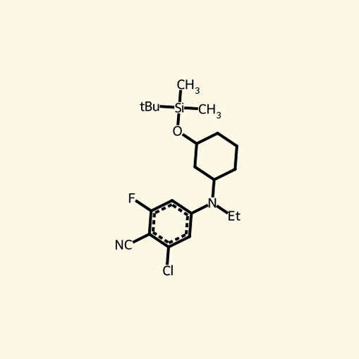 CCN(c1cc(F)c(C#N)c(Cl)c1)C1CCCC(O[Si](C)(C)C(C)(C)C)C1